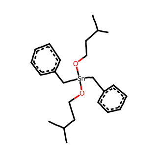 CC(C)CC[O][Sn]([CH2]c1ccccc1)([CH2]c1ccccc1)[O]CCC(C)C